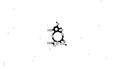 CON=C1COC(=O)c2c(C)c(OC)cc(O)c2CSC[C@@H](C(=O)O)NC1=O